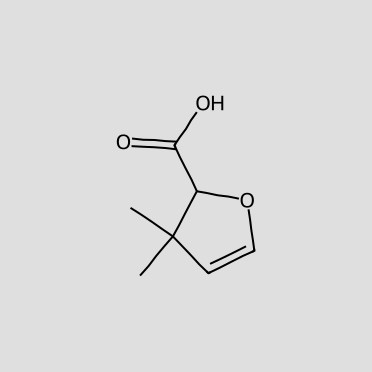 CC1(C)C=COC1C(=O)O